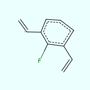 C=[C]c1cccc(C=C)c1F